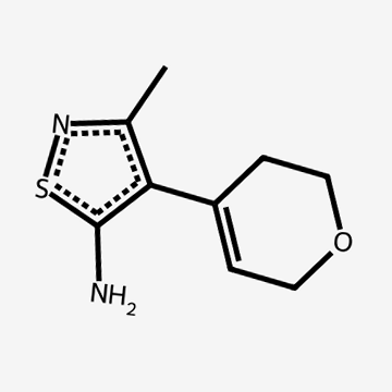 Cc1nsc(N)c1C1=CCOCC1